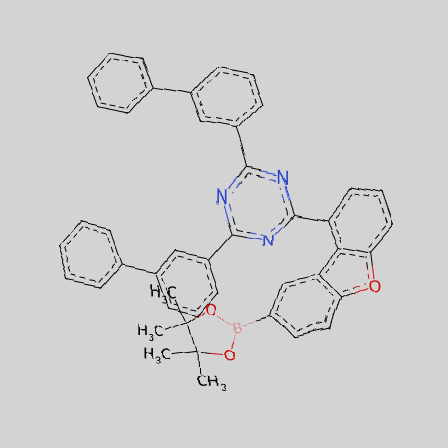 CC1(C)OB(c2ccc3oc4cccc(-c5nc(-c6cccc(-c7ccccc7)c6)nc(-c6cccc(-c7ccccc7)c6)n5)c4c3c2)OC1(C)C